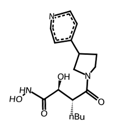 CCCC[C@@H](C(=O)N1CCC(c2ccncc2)C1)[C@H](O)C(=O)NO